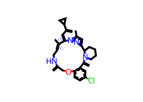 C=C1COc2ccc(Cl)cc2C(=C)N2CCCCC2c2cc(C)n(n2)C(=C\C(=C)C2CC2)/C(C)=C/CN1